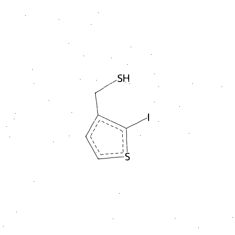 SCc1ccsc1I